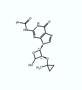 CC(C)C(=O)Nc1nc2c(ncn2[C@@H]2OC(O)[C@@H]2OC2(C)CC2)c(=O)[nH]1